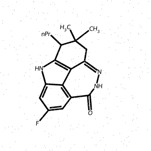 CCCC1c2[nH]c3cc(F)cc4c3c2C(=NNC4=O)CC1(C)C